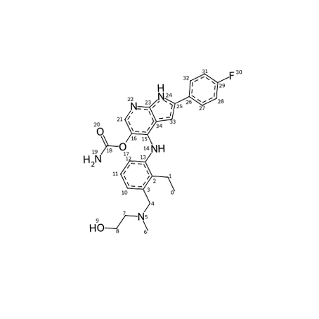 CCc1c(CN(C)CCO)cccc1Nc1c(OC(N)=O)cnc2[nH]c(-c3ccc(F)cc3)cc12